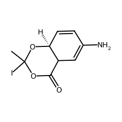 CC1(I)OC(=O)C2C=C(N)C=C[C@@H]2O1